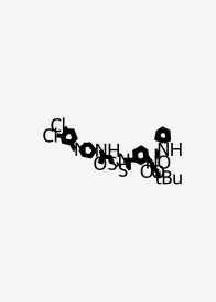 CC(C)(C)OC(=O)N(C(=O)CNc1ccccc1)c1cccc(-c2csc(SCC(=O)NC3CCN(Cc4ccc(Cl)c(Cl)c4)CC3)n2)c1